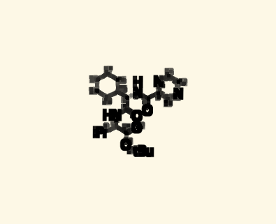 CC(C)C(NC(=O)[C@@H](NC(=O)c1cnccn1)C1CCCCC1)C(=O)OC(C)(C)C